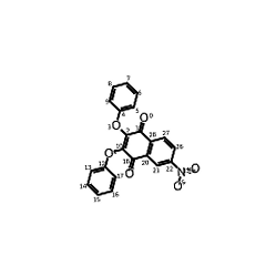 O=C1C(Oc2ccccc2)=C(Oc2ccccc2)C(=O)c2cc([N+](=O)[O-])ccc21